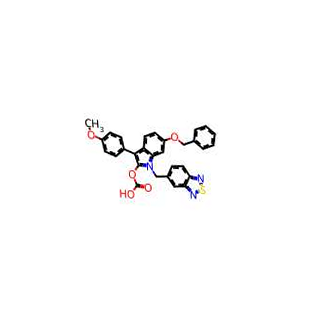 COc1ccc(-c2c(OC(=O)O)n(Cc3ccc4nsnc4c3)c3cc(OCc4ccccc4)ccc23)cc1